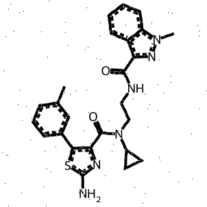 Cc1cccc(-c2sc(N)nc2C(=O)N(CCNC(=O)c2nn(C)c3ccccc23)C2CC2)c1